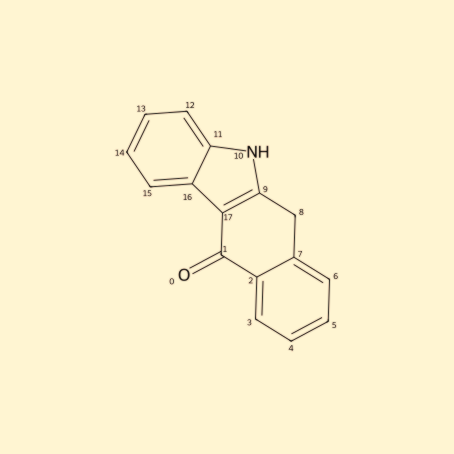 O=C1c2ccccc2Cc2[nH]c3ccccc3c21